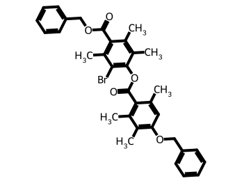 Cc1cc(OCc2ccccc2)c(C)c(C)c1C(=O)Oc1c(C)c(C)c(C(=O)OCc2ccccc2)c(C)c1Br